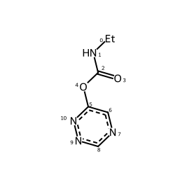 CCNC(=O)Oc1cncnn1